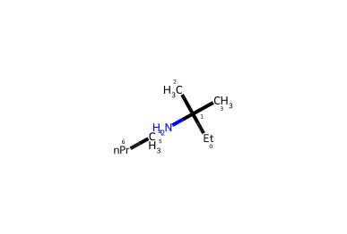 CCC(C)(C)N.CCCC